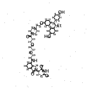 CCC(=C(c1ccc(O)cc1)c1ccc(OCCN2CCN(C(=O)CCOCCOCCNc3cccc4c3CN(C3CCC(=O)NC3=O)C4=O)CC2)cc1)c1ccc(O)cc1